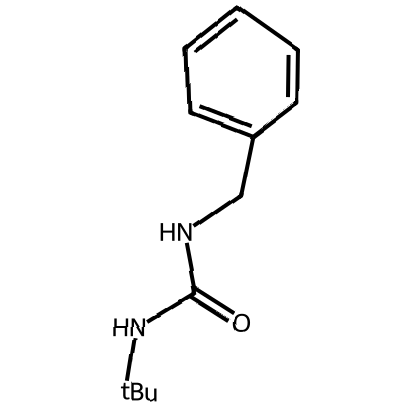 CC(C)(C)NC(=O)NCc1ccccc1